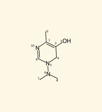 CC1=C(O)CN(N(C)C)C=N1